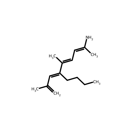 C=C(C)/C=C(CCCC)/C(C)=C/C=C(\C)N